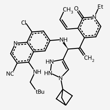 C=C(c1ccn(CC)c(=O)c1/C=C\C)[C@H](Nc1cc(Cl)c2ncc(C#N)c(NCC(C)(C)C)c2c1)C1=CN(C23CC(C2)C3)NN1